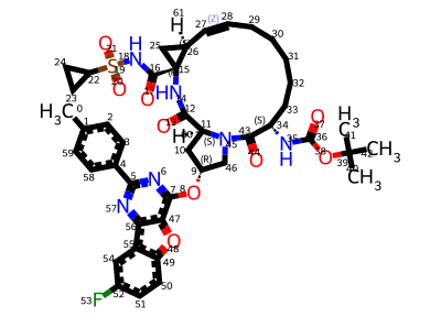 Cc1ccc(-c2nc(O[C@@H]3C[C@H]4C(=O)N[C@]5(C(=O)NS(=O)(=O)C6CC6)C[C@H]5/C=C\CCCCC[C@H](NC(=O)OC(C)(C)C)C(=O)N4C3)c3oc4ccc(F)cc4c3n2)cc1